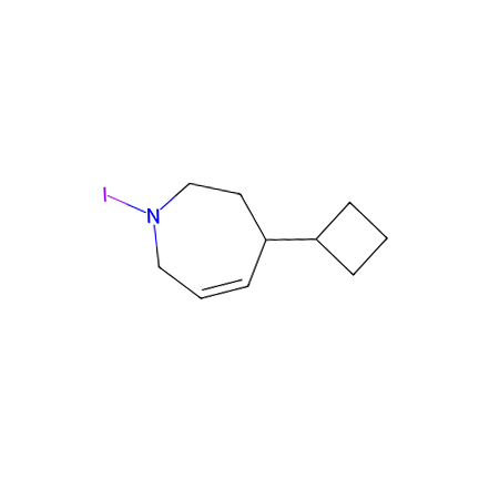 IN1CC=CC(C2CCC2)CC1